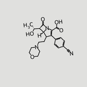 C[C@@H](O)[C@H]1C(=O)N2C(C(=O)O)=C(c3ccc(C#N)cc3)C(CCN3CCOCC3)[C@H]12